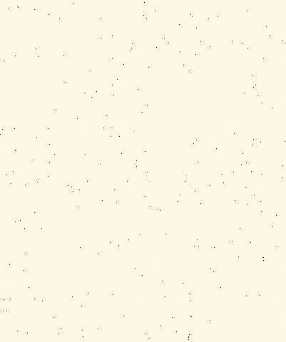 CN1N=C2CCN(C(=O)C(COc3cccc(F)c3)NC(=O)C(C)(C)NC(=O)O)CC2(Cc2ccccc2)C1=O